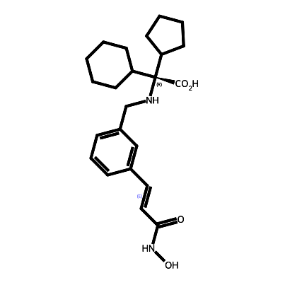 O=C(/C=C/c1cccc(CN[C@](C(=O)O)(C2CCCCC2)C2CCCC2)c1)NO